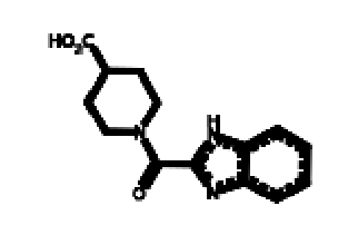 O=C(O)C1CCN(C(=O)c2nc3ccccc3[nH]2)CC1